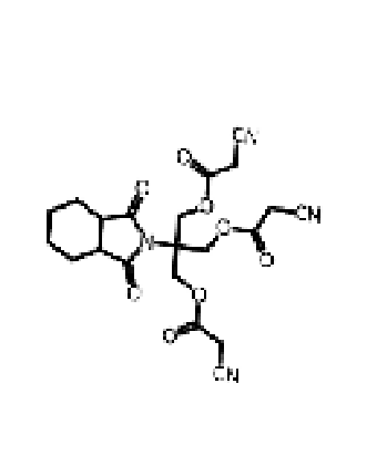 N#CCC(=O)OCC(COC(=O)CC#N)(COC(=O)CC#N)N1C(=O)C2CCCCC2C1=O